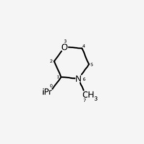 CC(C)C1COCCN1C